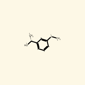 CSc1cccc([C@@H](C)O)c1